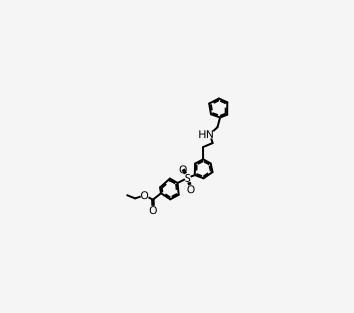 CCOC(=O)c1ccc(S(=O)(=O)c2cccc(CCNCc3ccccc3)c2)cc1